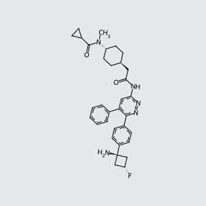 CN(C(=O)C1CC1)[C@H]1CC[C@H](CC(=O)Nc2cc(-c3ccccc3)c(-c3ccc([C@]4(N)C[C@H](F)C4)cc3)nn2)CC1